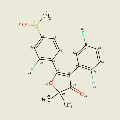 C[S+]([O-])c1ccc(C2=C(c3cc(F)ccc3F)C(=O)C(C)(C)O2)c(F)c1